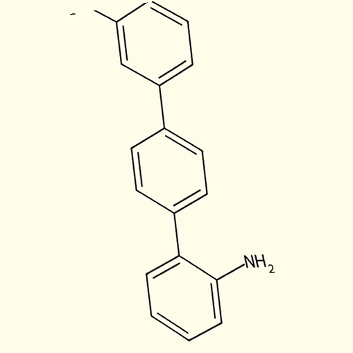 Nc1cccc(-c2ccc(-c3ccccc3N)cc2)c1